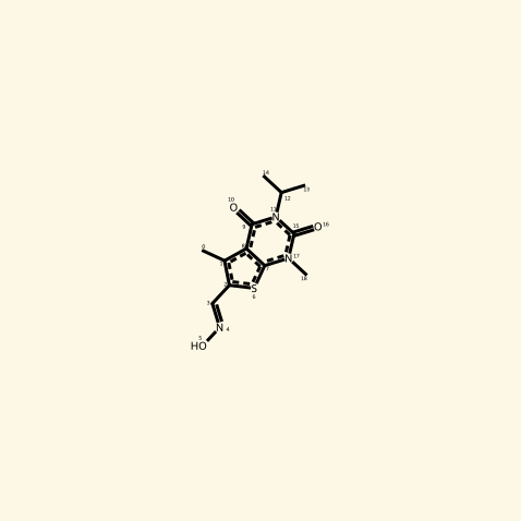 Cc1c(C=NO)sc2c1c(=O)n(C(C)C)c(=O)n2C